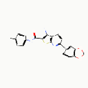 Nc1c(C(=O)Nc2ccc(C(F)(F)F)cc2)sc2nc(-c3ccc4c(c3)OCO4)ccc12